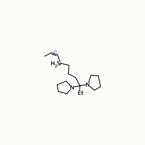 C/C=C\[SiH2]CCCC(CC)(N1CCCC1)N1CCCC1